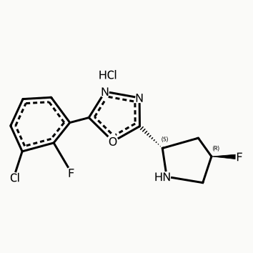 Cl.Fc1c(Cl)cccc1-c1nnc([C@@H]2C[C@@H](F)CN2)o1